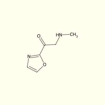 CNCC(=O)c1ncco1